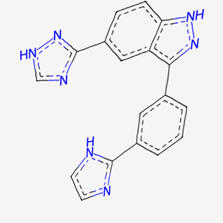 c1cc(-c2ncc[nH]2)cc(-c2n[nH]c3ccc(-c4nc[nH]n4)cc23)c1